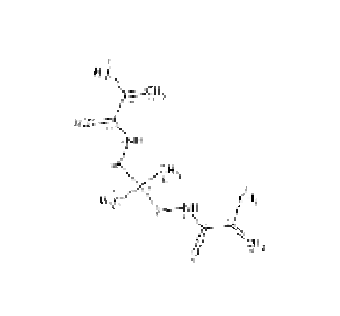 C=C(C)C(=O)NCC(C)(C)CNC(=O)C(=C)C